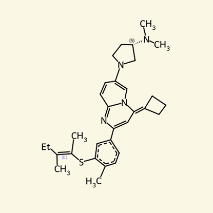 CC/C(C)=C(\C)Sc1cc(C2=CC(=C3CCC3)N3C=C(N4CC[C@H](N(C)C)C4)C=CC3=N2)ccc1C